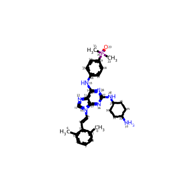 Cc1cccc(C)c1/C=C/n1cnc2c(Nc3ccc(P(C)(C)=O)cc3)nc(NC3CCC(N)CC3)nc21